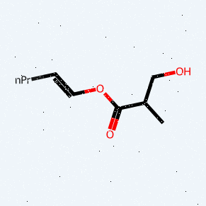 CCCC=COC(=O)C(C)CO